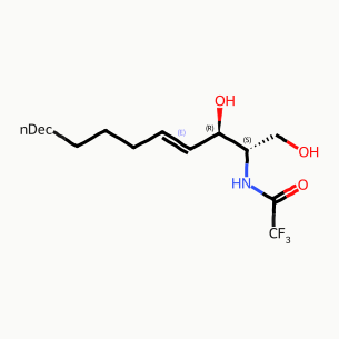 CCCCCCCCCCCCC/C=C/[C@@H](O)[C@H](CO)NC(=O)C(F)(F)F